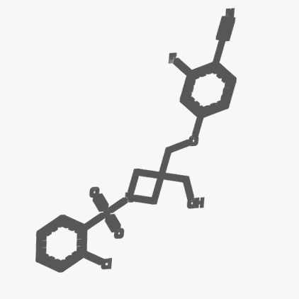 N#Cc1ccc(OCC2(CO)CN(S(=O)(=O)c3ccccc3Cl)C2)cc1F